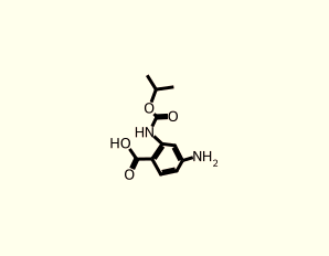 CC(C)OC(=O)Nc1cc(N)ccc1C(=O)O